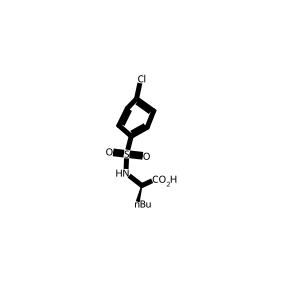 CCCC[C@@H](NS(=O)(=O)c1ccc(Cl)cc1)C(=O)O